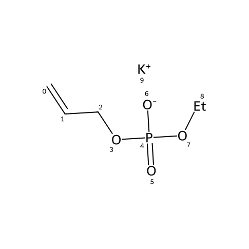 C=CCOP(=O)([O-])OCC.[K+]